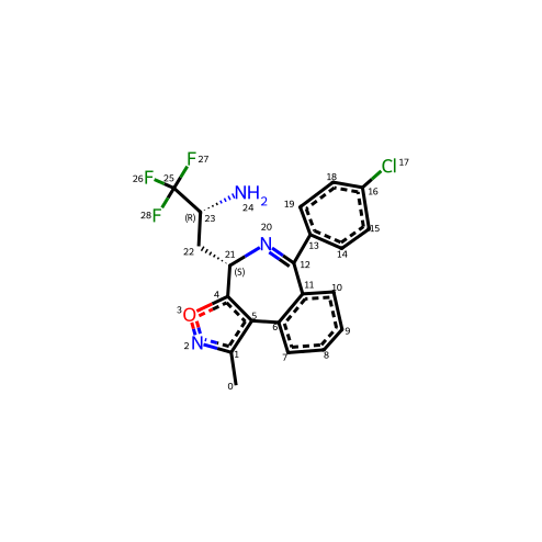 Cc1noc2c1-c1ccccc1C(c1ccc(Cl)cc1)=N[C@H]2C[C@@H](N)C(F)(F)F